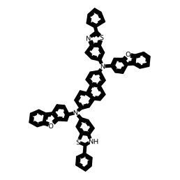 c1ccc(-c2nc3ccc(N(c4ccc5c(ccc6cc(N(c7ccc8c(c7)SC(c7ccccc7)N8)c7ccc8c(c7)oc7ccccc78)ccc65)c4)c4ccc5c(c4)oc4ccccc45)cc3s2)cc1